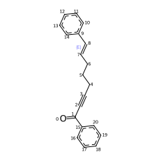 O=C(C#CCCC/C=C/c1ccccc1)c1ccccc1